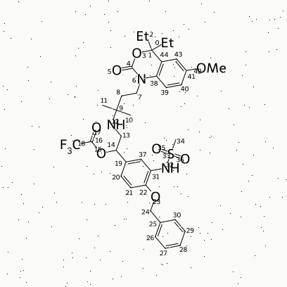 CCC1(CC)OC(=O)N(CCC(C)(C)NCC(OC(=O)C(F)(F)F)c2ccc(OCc3ccccc3)c(NS(C)(=O)=O)c2)c2ccc(OC)cc21